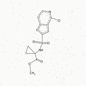 COC(=O)C1(NS(=O)(=O)c2cc3c(Cl)nccc3o2)CC1